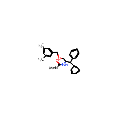 CNC(=O)NC(COCc1cc(C(F)(F)F)cc(C(F)(F)F)c1)C(c1ccccc1)c1ccccc1